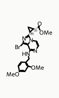 COC(=O)[C@H]1C[C@H]1c1nc(Br)c2c(NCc3ccc(OC)cc3OC)nccn12